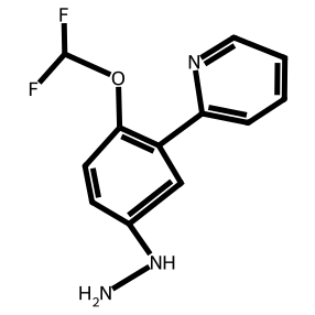 NNc1ccc(OC(F)F)c(-c2ccccn2)c1